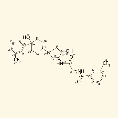 O=C(CNC(=O)c1cccc(C(F)(F)F)c1)N[C@H]1CN(C2CCC(O)(c3cccc(C(F)(F)F)c3)CC2)C[C@@H]1O